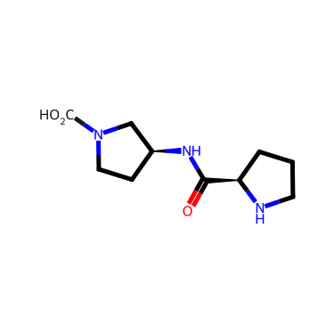 O=C(N[C@H]1CCN(C(=O)O)C1)[C@H]1CCCN1